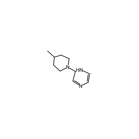 CC1CCN(C2C=NC=[C]N2)CC1